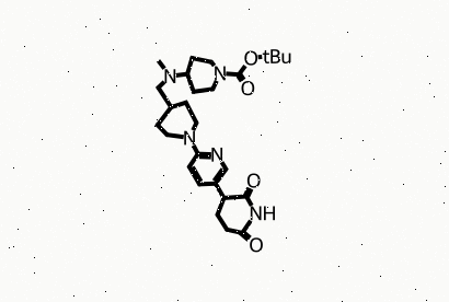 CN(CC1CCN(c2ccc(C3CCC(=O)NC3=O)cn2)CC1)C1CCN(C(=O)OC(C)(C)C)CC1